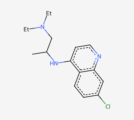 CCN(CC)CC(C)Nc1ccnc2cc(Cl)ccc12